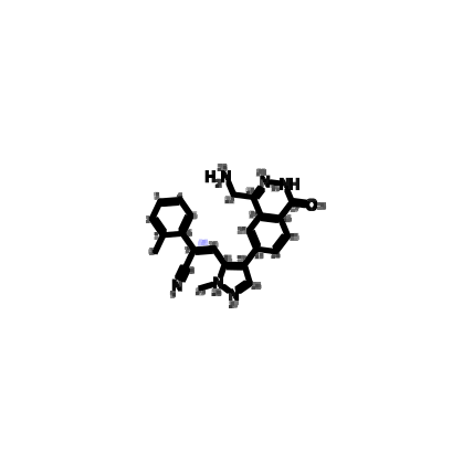 Cc1ccccc1/C(C#N)=C/c1c(-c2ccc3c(=O)[nH]nc(CN)c3c2)cnn1C